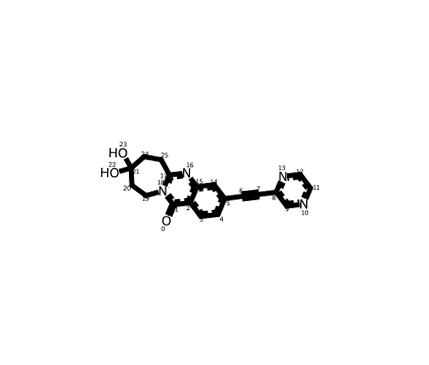 O=c1c2ccc(C#Cc3cnccn3)cc2nc2n1CCC(O)(O)CC2